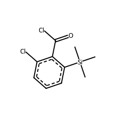 C[Si](C)(C)c1cccc(Cl)c1C(=O)Cl